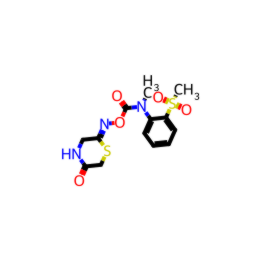 CN(C(=O)ON=C1CNC(=O)CS1)c1ccccc1S(C)(=O)=O